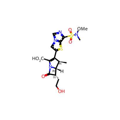 CON(C)S(=O)(=O)c1ncn2cc(C3=C(C(=O)O)N4C(=O)[C@@H](CCO)[C@H]4[C@@H]3C)sc12